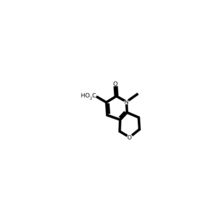 Cn1c2c(cc(C(=O)O)c1=O)COCC2